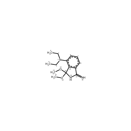 CCN(CC)c1cccc2c1C(OC)(OC)NC2=N